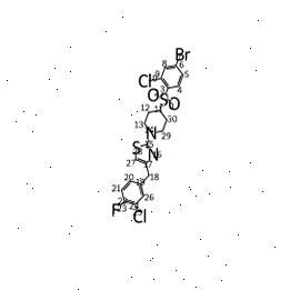 O=S(=O)(c1ccc(Br)cc1Cl)C1CCN(c2nc(Cc3ccc(F)c(Cl)c3)cs2)CC1